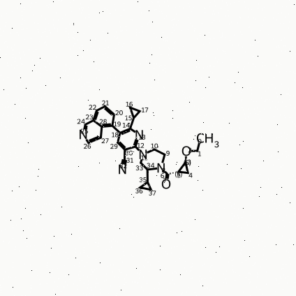 CCO[C@H]1C[C@@H]1C(=O)N1CCN(c2nc(C3CC3)c(-c3cccc4cnccc34)cc2C#N)CC1C1CC1